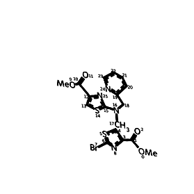 COC(=O)c1csc(Br)n1.COC(=O)c1csc(N(C)Cc2ccccn2)n1